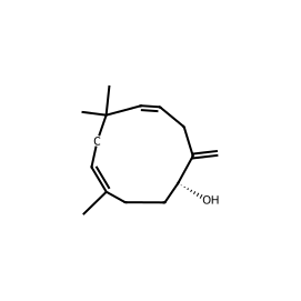 C=C1CC=CC(C)(C)CC=C(C)CC[C@H]1O